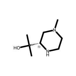 CN1CCN[C@H](C(C)(C)O)C1